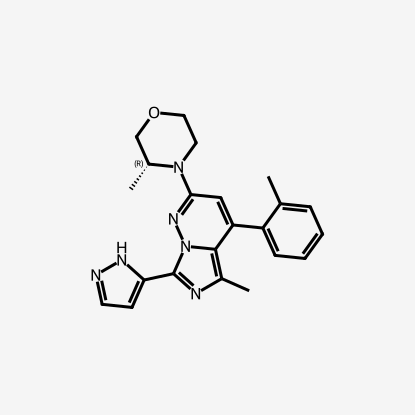 Cc1ccccc1-c1cc(N2CCOC[C@H]2C)nn2c(-c3ccn[nH]3)nc(C)c12